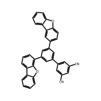 N#Cc1cc(C#N)cc(-c2cc(-c3ccc4oc5ccccc5c4c3)cc(-c3cccc4c3oc3ccccc34)c2)c1